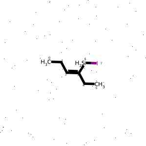 CCC=C(CC)[SiH2]I